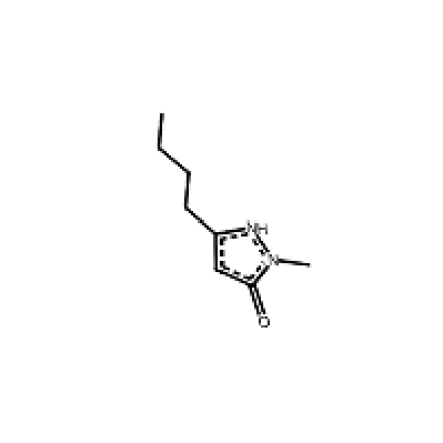 CCCCc1cc(=O)n(C)[nH]1